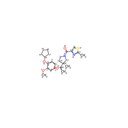 COc1ccc([C@@H]2CN(C(=O)c3csc(C)n3)C[C@@]2(C)[C@@H](C)O)cc1OC1CCCC1